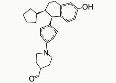 O=CC1CCN(c2ccc([C@@H]3c4ccc(O)cc4CC[C@@H]3C3CCCC3)cc2)CC1